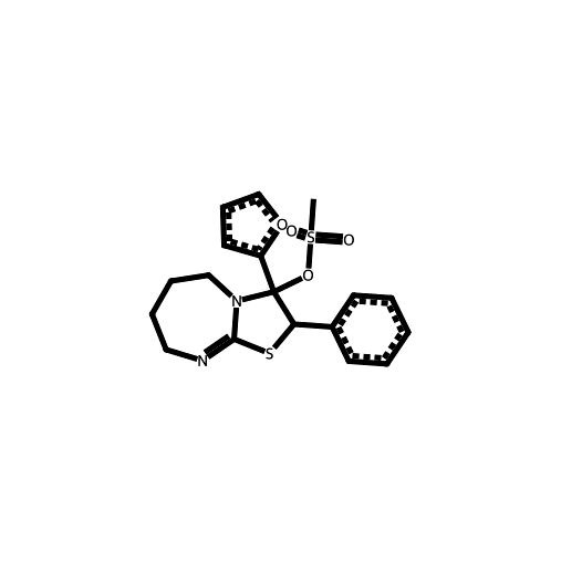 CS(=O)(=O)OC1(c2ccco2)C(c2ccccc2)SC2=NCCCCN21